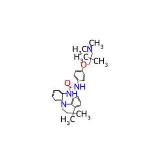 CN(C)CC(C)(C)COc1ccc(NC(=O)Nc2ccccc2N2CCC(C)(C)c3ccccc32)cc1